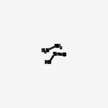 NN.O=NO